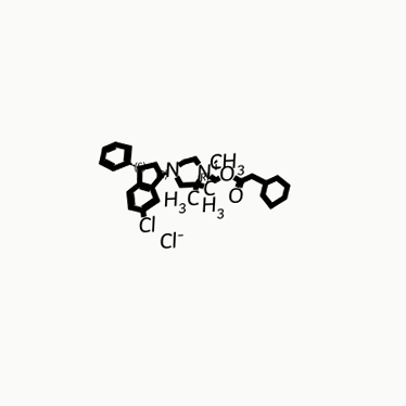 CC1(C)CN([C@@H]2C[C@@H](c3ccccc3)c3ccc(Cl)cc32)CC[N@@+]1(C)COC(=O)CC1CCCCC1.[Cl-]